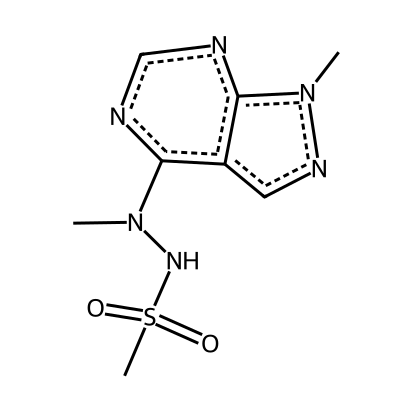 CN(NS(C)(=O)=O)c1ncnc2c1cnn2C